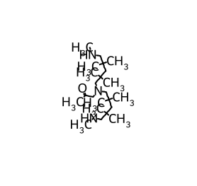 CNCC(C)(C)CC(C)(C)CN(CC(C)=O)CC(C)(C)CC(C)(C)CNC